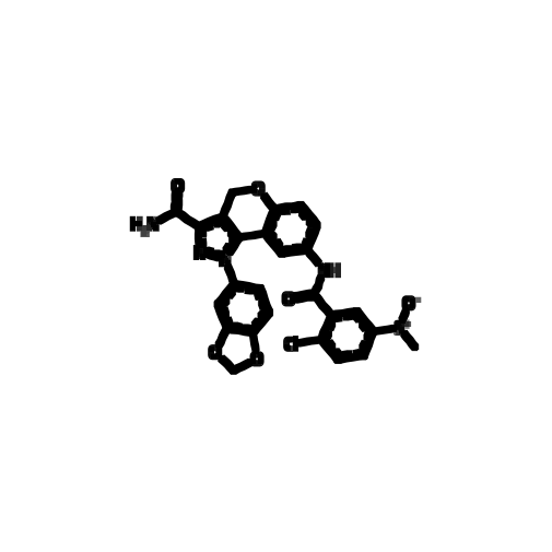 C[S+]([O-])c1ccc(Cl)c(C(=O)Nc2ccc3c(c2)-c2c(c(C(N)=O)nn2-c2ccc4c(c2)OCO4)CO3)c1